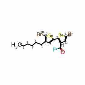 CCCCCCc1cc(-c2sc(Br)cc2C(=O)F)sc1Br